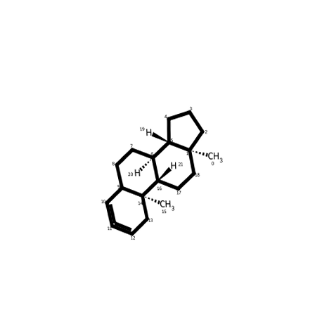 C[C@@]12CCC[C@H]1[C@@H]1CCC3C=C=CC[C@]3(C)[C@H]1CC2